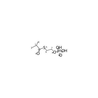 CC(C)C(=O)SCCOP(=O)(O)O